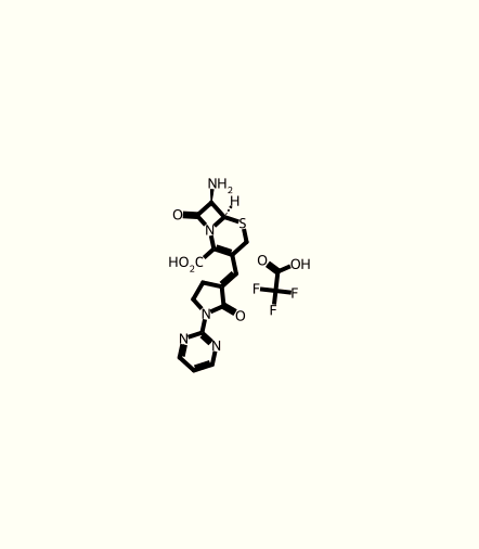 N[C@@H]1C(=O)N2C(C(=O)O)=C(C=C3CCN(c4ncccn4)C3=O)CS[C@H]12.O=C(O)C(F)(F)F